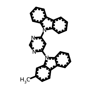 Cc1ccc2c3ccccc3n(-c3cc(-n4c5ccccc5c5ccccc54)ncn3)c2c1